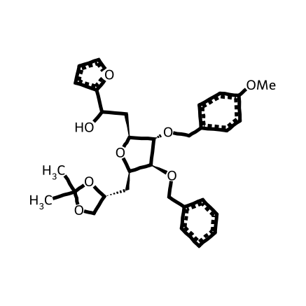 COc1ccc(CO[C@@H]2[C@@H](OCc3ccccc3)[C@@H](C[C@@H]3COC(C)(C)O3)O[C@H]2CC(O)c2ccco2)cc1